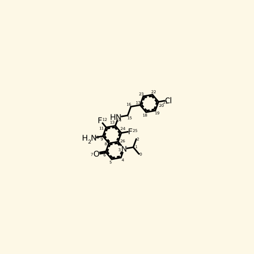 CC(C)n1ccc(=O)c2c(N)c(F)c(NCCc3ccc(Cl)cc3)c(F)c21